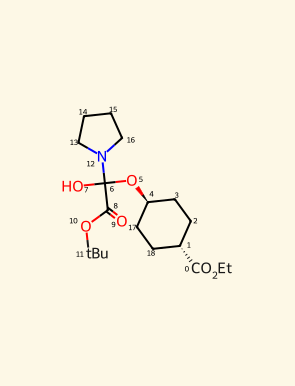 CCOC(=O)[C@H]1CC[C@H](OC(O)(C(=O)OC(C)(C)C)N2CCCC2)CC1